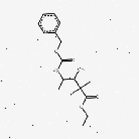 CCOC(=O)C(F)(F)C(O)C(C)NC(=O)OCc1ccccc1